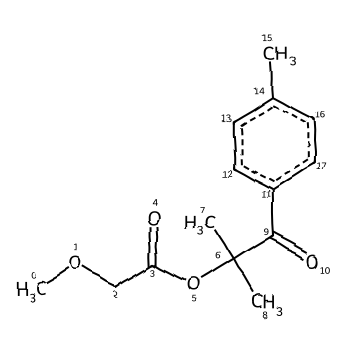 COCC(=O)OC(C)(C)C(=O)c1ccc(C)cc1